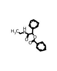 CCNC(=O)C(OC(=O)c1ccccc1)c1ccccc1